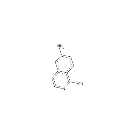 N#Cc1nccc2cc(N)ccc12